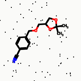 CC1(C)OCC(COCc2ccc(C#N)cc2)O1